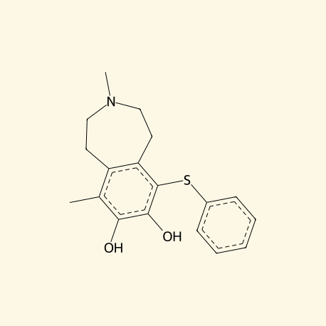 Cc1c(O)c(O)c(Sc2ccccc2)c2c1CCN(C)CC2